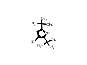 CC(C)(C)c1c[c]([Zr])c(C(C)(C)C)[nH]1